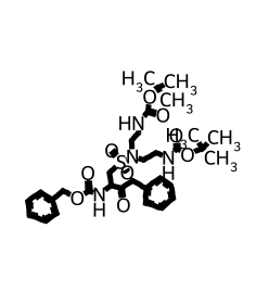 CC(C)(C)OC(=O)NCCN(CCNC(=O)OC(C)(C)C)S(=O)(=O)CC(NC(=O)OCc1ccccc1)C(=O)Cc1ccccc1